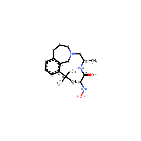 C[C@@H](CN1CCCc2cccc(C(C)(C)C)c2C1)NC(=O)CNO